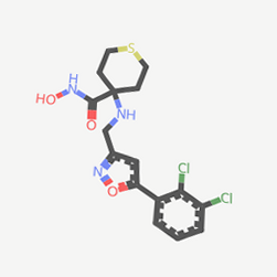 O=C(NO)C1(NCc2cc(-c3cccc(Cl)c3Cl)on2)CCSCC1